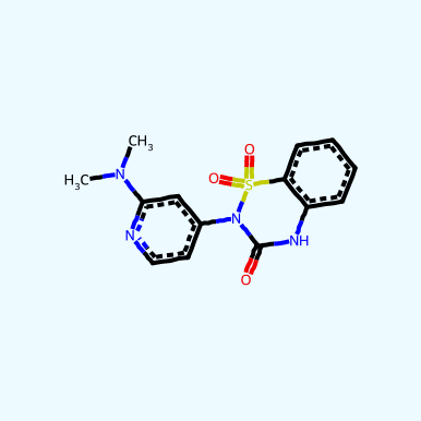 CN(C)c1cc(N2C(=O)Nc3ccccc3S2(=O)=O)ccn1